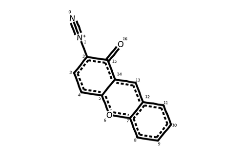 N#[N+]c1ccc2oc3ccccc3cc-2c1=O